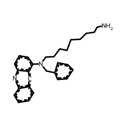 NCCCCCCCCCN(Cc1ccccc1)c1cccc2nc3ccccc3cc12